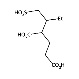 CCC(CS(=O)(=O)O)C(CCC(=O)O)C(=O)O